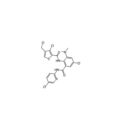 CN(C)c1cc(Cl)cc(C(=O)Nc2ccc(Cl)cn2)c1NC(=O)c1scc(CCl)c1Cl